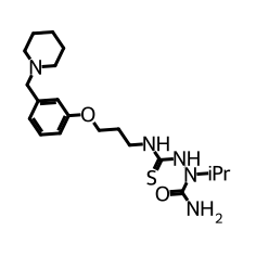 CC(C)N(NC(=S)NCCCOc1cccc(CN2CCCCC2)c1)C(N)=O